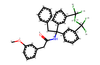 COc1cccc(CC(=O)NC(Cc2ccccc2)(c2cccc(C(F)(F)F)c2)c2cccc(C(F)(F)F)c2)c1